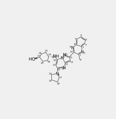 Cc1nc2ccccc2nc1-c1cc2nc(N3CCCC3)cc(N[C@H]3CC[C@H](O)CC3)n2n1